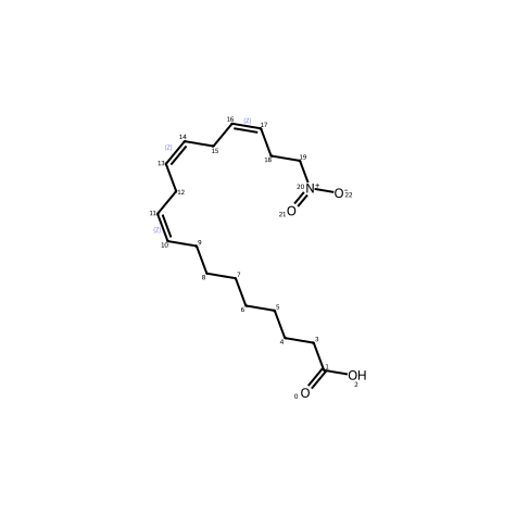 O=C(O)CCCCCCC/C=C\C/C=C\C/C=C\CC[N+](=O)[O-]